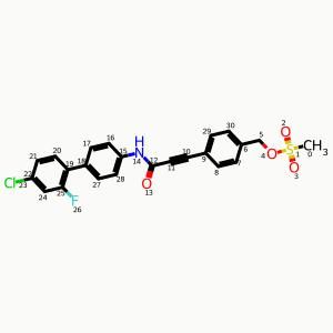 CS(=O)(=O)OCc1ccc(C#CC(=O)Nc2ccc(-c3ccc(Cl)cc3F)cc2)cc1